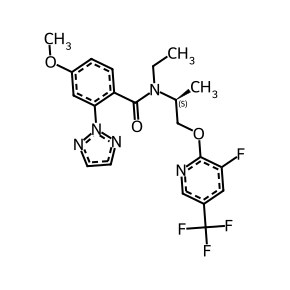 CCN(C(=O)c1ccc(OC)cc1-n1nccn1)[C@@H](C)COc1ncc(C(F)(F)F)cc1F